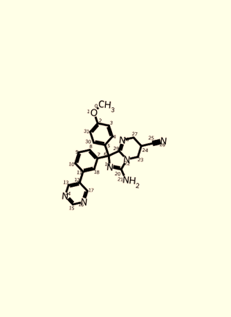 COc1ccc(C2(c3cccc(-c4cncnc4)c3)N=C(N)N3CC(C#N)CN=C32)cc1